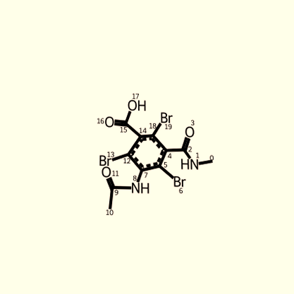 CNC(=O)c1c(Br)c(NC(C)=O)c(Br)c(C(=O)O)c1Br